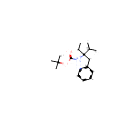 CCC(Cc1ccccc1)(NC(=O)OC(C)(C)C)C(C)C